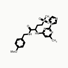 COc1ccc(CNC(=O)C(CCS(C)(=O)=O)Nc2cc(C)nc(-n3ccnc3)n2)cc1